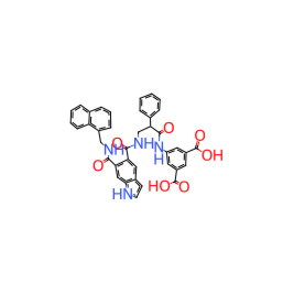 O=C(O)c1cc(NC(=O)C(CNC(=O)c2cc3cc[nH]c3cc2C(=O)NCc2cccc3ccccc23)c2ccccc2)cc(C(=O)O)c1